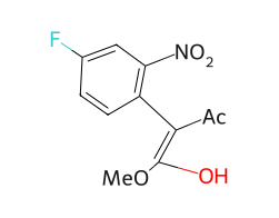 CO/C(O)=C(/C(C)=O)c1ccc(F)cc1[N+](=O)[O-]